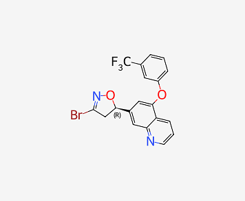 FC(F)(F)c1cccc(Oc2cc([C@H]3CC(Br)=NO3)cc3ncccc23)c1